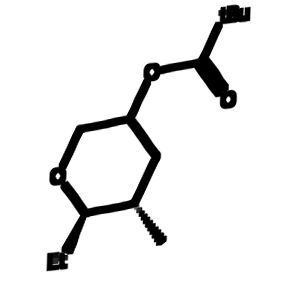 CC[C@H]1OCC(OC(=O)C(C)(C)C)C[C@@H]1C